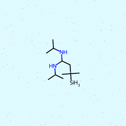 CC(C)NC(CC(C)(C)[SiH3])NC(C)C